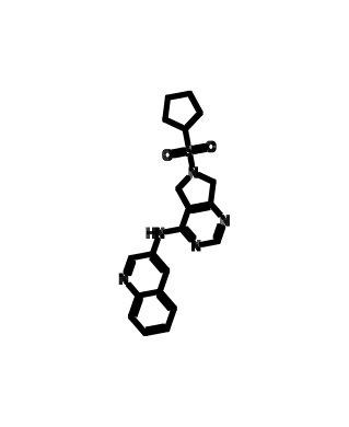 O=S(=O)(C1CCCC1)N1Cc2ncnc(Nc3cnc4ccccc4c3)c2C1